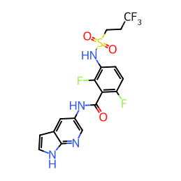 O=C(Nc1cnc2[nH]ccc2c1)c1c(F)ccc(NS(=O)(=O)CCC(F)(F)F)c1F